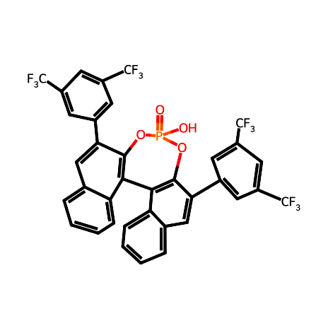 O=P1(O)Oc2c(-c3cc(C(F)(F)F)cc(C(F)(F)F)c3)cc3ccccc3c2-c2c(c(-c3cc(C(F)(F)F)cc(C(F)(F)F)c3)cc3ccccc23)O1